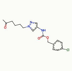 CC(=O)CCCCn1cc(NC(=O)OCc2ccc(Cl)cc2)cn1